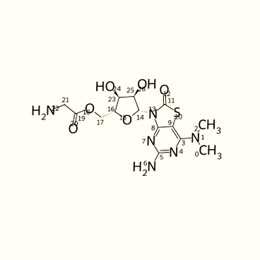 CN(C)c1nc(N)nc2c1sc(=O)n2[C@@H]1O[C@H](COC(=O)CN)[C@@H](O)[C@H]1O